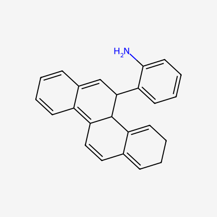 Nc1ccccc1C1C=c2ccccc2=C2C=CC3=CCCC=C3C21